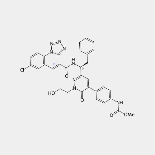 COC(=O)Nc1ccc(-c2cc([C@H](Cc3ccccc3)NC(=O)/C=C/c3cc(Cl)ccc3-n3cnnn3)nn(CCO)c2=O)cc1